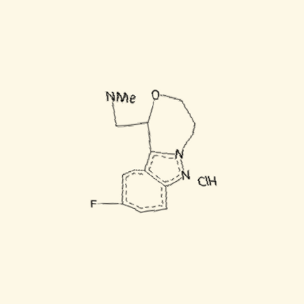 CNCC1OCCn2nc3ccc(F)cc3c21.Cl